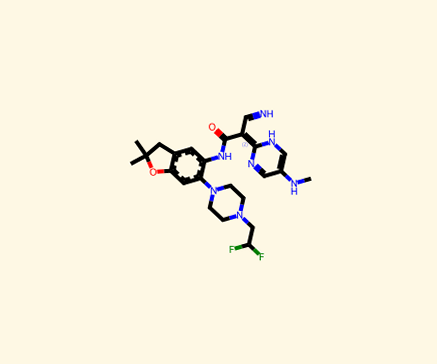 CNC1=CN/C(=C(\C=N)C(=O)Nc2cc3c(cc2N2CCN(CC(F)F)CC2)OC(C)(C)C3)N=C1